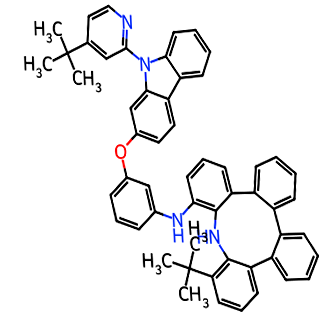 CC(C)(C)c1ccnc(-n2c3ccccc3c3ccc(Oc4cccc(Nc5cccc6c5[nH]c5c(C(C)(C)C)cccc5c5ccccc5c5ccccc65)c4)cc32)c1